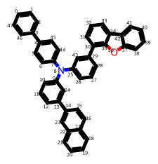 c1ccc(-c2ccc(N(c3cccc(-c4ccc5ccccc5c4)c3)c3cccc(-c4cccc5c4oc4ccccc45)c3)cc2)cc1